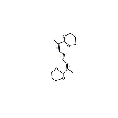 C/C(=C/C=C/C=C(/C)C1OCCCO1)C1OCCCO1